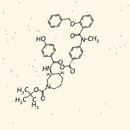 CN(C(=O)c1ccccc1OCc1ccccc1)c1ccc(C(=O)O[C@@H]2CCCN(C(=O)OC(C)(C)C)C[C@H]2NC(=O)c2ccc(O)cc2)cc1